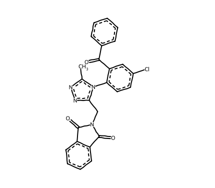 Cc1nnc(CN2C(=O)c3ccccc3C2=O)n1-c1ccc(Cl)cc1C(=O)c1ccccc1